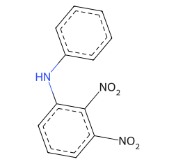 O=[N+]([O-])c1cccc(Nc2ccccc2)c1[N+](=O)[O-]